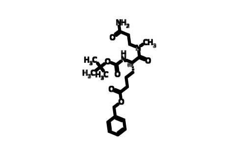 CN(CCC(N)=O)C(=O)[C@H](CCCC(=O)OCc1ccccc1)NC(=O)OC(C)(C)C